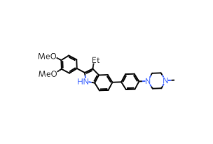 CCc1c(-c2ccc(OC)c(OC)c2)[nH]c2ccc(-c3ccc(N4CCN(C)CC4)cc3)cc12